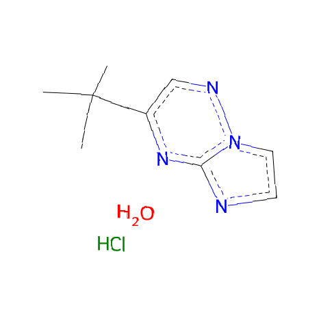 CC(C)(C)c1cnn2ccnc2n1.Cl.O